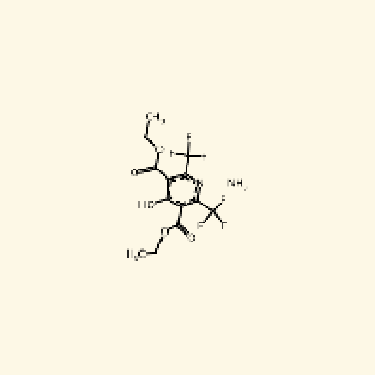 CCOC(=O)c1c(C(F)(F)F)nc(C(F)(F)F)c(C(=O)OCC)c1O.N